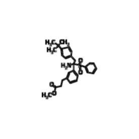 COC(=O)CCc1cccc(C(N)(Cc2ccc(C(C)(C)C)cc2)S(=O)(=O)c2ccccc2)c1